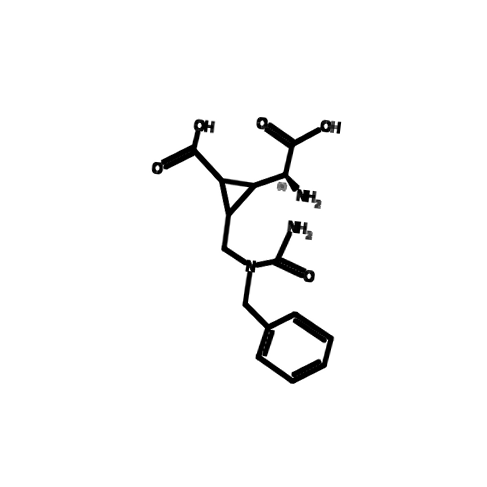 NC(=O)N(Cc1ccccc1)CC1C(C(=O)O)C1[C@H](N)C(=O)O